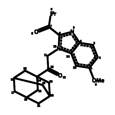 COc1ccc2nc(C(=O)C(C)C)n(CC(=O)C34CC5CC(CC(C5)C3)C4)c2c1